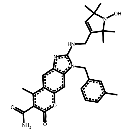 Cc1cccc(Cn2c(NCC3=CC(C)(C)N(O)C3(C)C)nc3cc4c(C)c(C(N)=O)c(=O)oc4cc32)c1